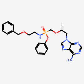 C[C@H](Cn1cnc2c(N)ncnc21)OC[P@](=O)(NCCOCc1ccccc1)Oc1ccccc1